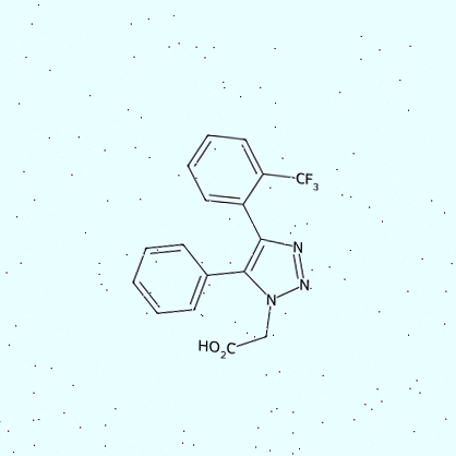 O=C(O)Cn1nnc(-c2ccccc2C(F)(F)F)c1-c1ccccc1